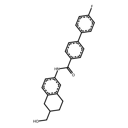 O=C(Nc1ccc2c(c1)CCC(CO)C2)c1ccc(-c2ccc(F)cc2)cc1